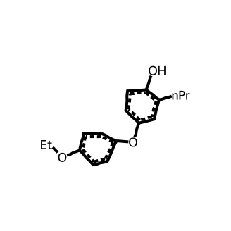 CCCc1cc(Oc2ccc(OCC)cc2)ccc1O